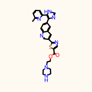 Cc1cccc(-c2[nH]cnc2-c2ccc3ncc(-c4ncc(C(=O)OCCN5CCNCC5)s4)cc3c2)n1